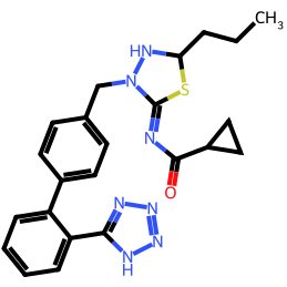 CCCC1NN(Cc2ccc(-c3ccccc3-c3nnn[nH]3)cc2)C(=NC(=O)C2CC2)S1